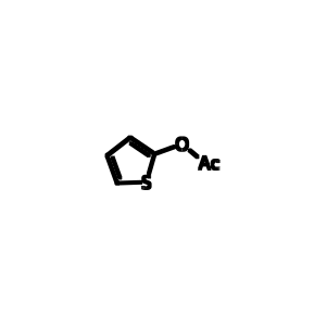 CC(=O)Oc1cccs1